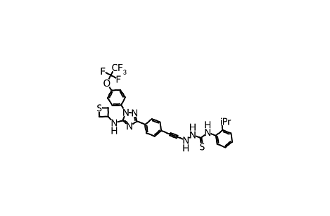 CC(C)c1ccccc1NC(=S)NNC#Cc1ccc(-c2nc(NC3CSC3)n(-c3ccc(OC(F)(F)C(F)(F)F)cc3)n2)cc1